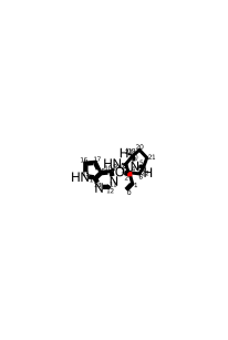 C=CC(=O)N1[C@@H]2CC[C@H](Nc3ncnc4[nH]ccc34)[C@@H]1CC2